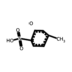 Cc1ccc(S(=O)(=O)O)cc1.[O]